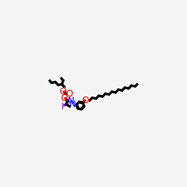 CCCCCCCCCCCCCCCCOc1cccc(N2CC(I)C(OC(=O)OCC(CC)CCCC)=N2)c1